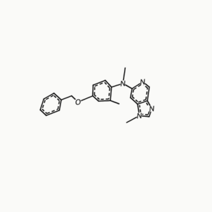 Cc1cc(OCc2ccccc2)ccc1N(C)c1cc2c(cn1)ncn2C